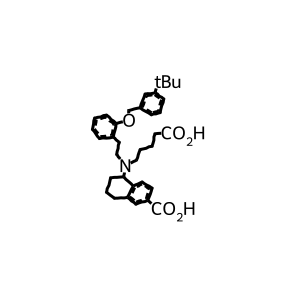 CC(C)(C)c1cccc(COc2ccccc2CCN(CCCCC(=O)O)C2CCCc3cc(C(=O)O)ccc32)c1